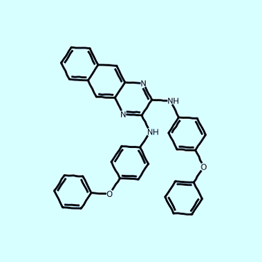 c1ccc(Oc2ccc(Nc3nc4cc5ccccc5cc4nc3Nc3ccc(Oc4ccccc4)cc3)cc2)cc1